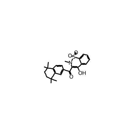 CN1C(C(=O)c2ccc3c(c2)C(C)(C)CCC3(C)C)=C(O)c2ccccc2S1(=O)=O